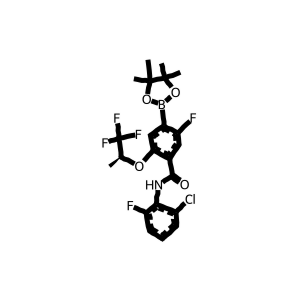 C[C@H](Oc1cc(B2OC(C)(C)C(C)(C)O2)c(F)cc1C(=O)Nc1c(F)cccc1Cl)C(F)(F)F